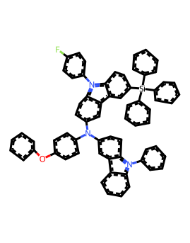 Fc1ccc(-n2c3ccc(N(c4ccc(Oc5ccccc5)cc4)c4ccc5c(c4)c4ccccc4n5-c4ccccc4)cc3c3cc([Si](c4ccccc4)(c4ccccc4)c4ccccc4)ccc32)cc1